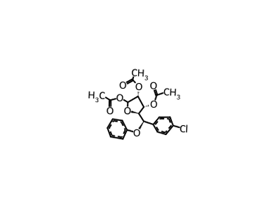 CC(=O)OC1O[C@H]([C@H](Oc2ccccc2)c2ccc(Cl)cc2)[C@@H](OC(C)=O)[C@H]1OC(C)=O